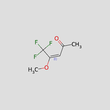 CO/C(=C/C(C)=O)C(F)(F)F